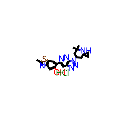 Cc1nc2cc(O)c(-c3cc4nnn(C5CC(C)(C)NC6(CC6)C5)c4nn3)cc2s1.Cl